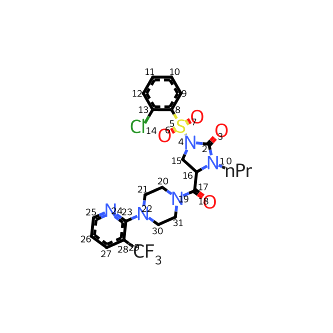 CCCN1C(=O)N(S(=O)(=O)c2ccccc2Cl)CC1C(=O)N1CCN(c2ncccc2C(F)(F)F)CC1